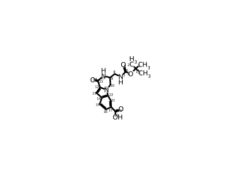 CC(C)(C)OC(=O)NCC1Cn2c(cc3ccc(C(=O)O)cc32)C(=O)N1